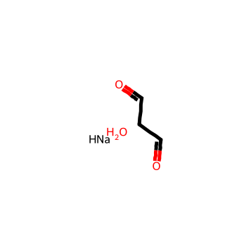 O.O=CCC=O.[NaH]